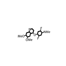 CNc1cc(F)c(Oc2ccnc3cc(OC)c(OC)cc23)cc1F